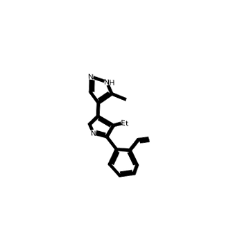 C=Cc1ccccc1C1=NCC(c2cn[nH]c2C)=C1CC